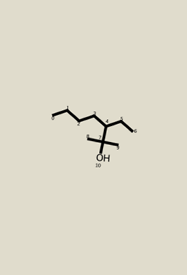 CCCCC(CC)C(C)(C)O